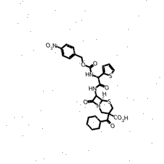 O=C(NC(C(=O)NC1C(=O)N2CC(C(=O)O)(C(=O)C3CCCCC3)CS[C@H]12)c1cccs1)OCc1ccc([N+](=O)[O-])cc1